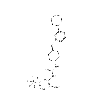 COc1ccc(S(F)(F)(F)(F)F)cc1NC(=O)N[C@H]1CC[C@H](Oc2ccnc(N3CCOCC3)n2)CC1